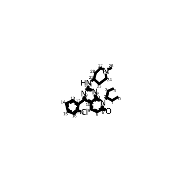 CCC(CC)n1c(=O)ccc2c(-c3ccccc3Cl)nc(NC3CCN(C)CC3)nc21